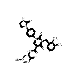 COC(=O)[C@H](COC(C)(C)C)NC(=O)c1cn(-c2ccc(N3CCNC3=O)cc2)c(=O)n(Cc2cccc(C(F)(F)F)c2C)c1=O